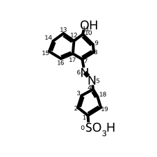 O=S(=O)(O)c1ccc(N=Nc2ccc(O)c3ccccc23)cc1